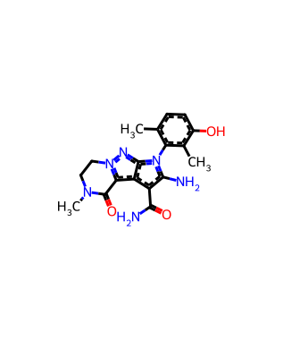 Cc1ccc(O)c(C)c1-n1c(N)c(C(N)=O)c2c3n(nc21)CCN(C)C3=O